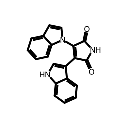 O=C1NC(=O)C(n2ccc3ccccc32)=C1c1c[nH]c2ccccc12